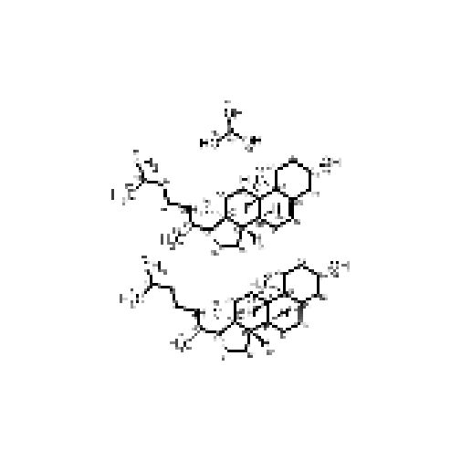 CC(C)CCC[C@@H](C)[C@H]1CC[C@H]2[C@@H]3CC=C4C[C@@H](O)CC[C@]4(C)[C@H]3CC[C@]12C.CC(C)CCC[C@@H](C)[C@H]1CC[C@H]2[C@@H]3CC=C4C[C@@H](O)CC[C@]4(C)[C@H]3CC[C@]12C.OP(O)O